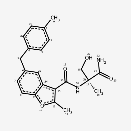 Cc1ccc(Cc2ccc3oc(C)c(C(=O)N[C@@](C)(CO)C(N)=O)c3c2)cc1